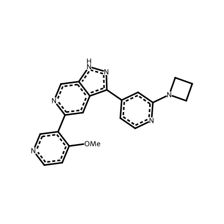 COc1ccncc1-c1cc2c(-c3ccnc(N4CCC4)c3)n[nH]c2cn1